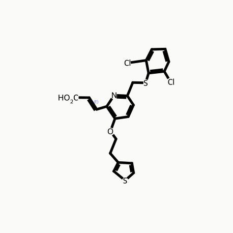 O=C(O)/C=C/c1nc(CSc2c(Cl)cccc2Cl)ccc1OCCc1ccsc1